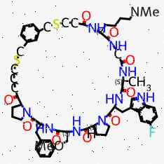 CNCCCC[C@@H]1NC(=O)CCSCc2cccc(c2)CSCCCC(=O)C2CCCN2C(=O)[C@H](Cc2ccccc2)NC(=O)[C@H](COC)NC(=O)[C@@H]2CCCN2C(=O)C(Cc2c[nH]c3ccc(F)cc23)NC(=O)[C@H](C)NC(=O)CNC1=O